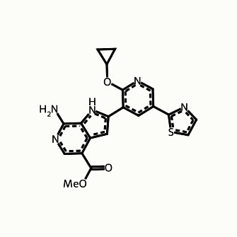 COC(=O)c1cnc(N)c2[nH]c(-c3cc(-c4nccs4)cnc3OC3CC3)cc12